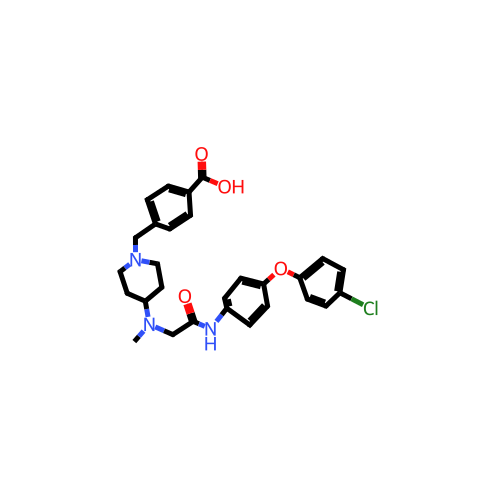 CN(CC(=O)Nc1ccc(Oc2ccc(Cl)cc2)cc1)C1CCN(Cc2ccc(C(=O)O)cc2)CC1